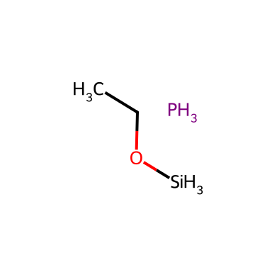 CCO[SiH3].P